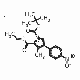 CCOC(=O)c1c(C)c(-c2ccc([N+](=O)[O-])cc2)cn1C(=O)OC(C)(C)C